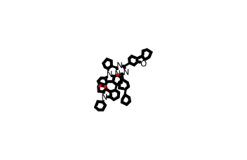 c1ccc(-c2ccc(-c3nc(-c4ccc5c(c4)oc4ccccc45)nc(-c4ccccc4-n4c5ccccc5c5c(-c6cccc7c6c6ccccc6n7-c6ccccc6)cccc54)n3)cc2)cc1